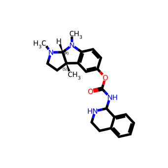 CN1CC[C@@]2(C)c3cc(OC(=O)NC4NCCc5ccccc54)ccc3N(C)[C@@H]12